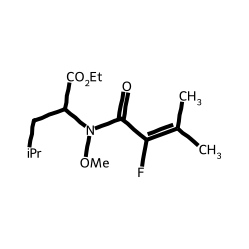 CCOC(=O)C(CC(C)C)N(OC)C(=O)C(F)=C(C)C